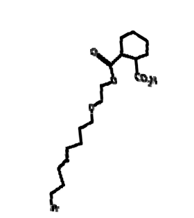 CC(C)CCCCCCCCOCCOC(=O)C1CCCCC1C(=O)O